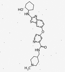 CN1CCC(CNC(=O)c2cc(Oc3ccc4nc(N[C@@H]5CCCC[C@H]5O)sc4c3)ccn2)CC1